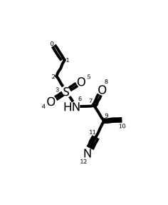 C=CCS(=O)(=O)NC(=O)C(=C)C#N